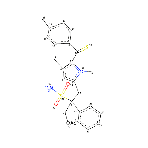 CC(=O)OCC(Cc1cc(C)c(C(=S)c2ccc(C)cc2)n1C)(c1ccccc1)S(N)(=O)=O